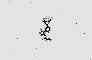 C=CC[C@@H](CC(C)(C)NC(=O)O)c1ccnc(-c2c(NC(=O)[C@H](C)C=C)cnn2C)c1